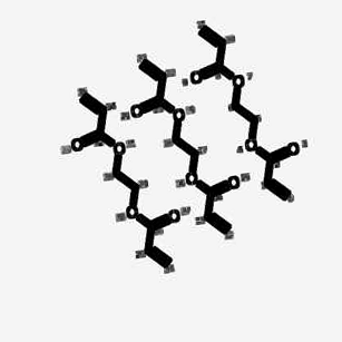 C=CC(=O)OCCOC(=O)C=C.C=CC(=O)OCCOC(=O)C=C.C=CC(=O)OCCOC(=O)C=C